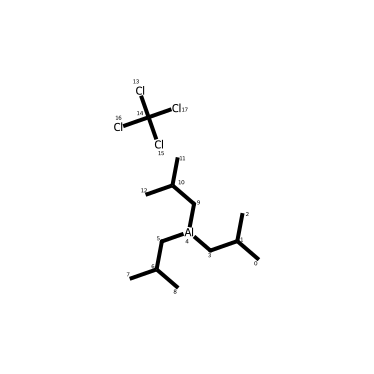 CC(C)[CH2][Al]([CH2]C(C)C)[CH2]C(C)C.ClC(Cl)(Cl)Cl